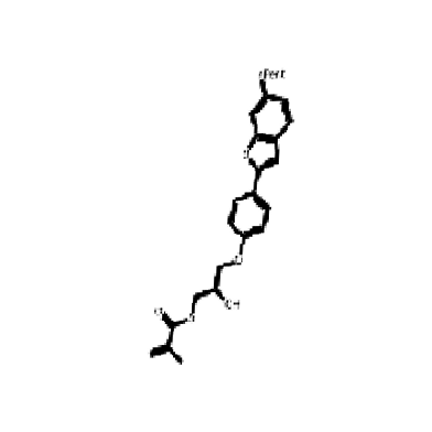 C=C(C)C(=O)OCC(O)COc1ccc(-c2cc3ccc(CCCCC)cc3o2)cc1